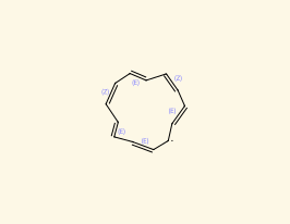 [CH]1/C=C/C=C\C=C\C=C/C=C/C=C/1